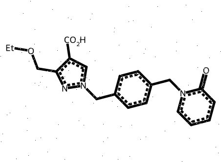 CCOCc1nn(Cc2ccc(Cn3ccccc3=O)cc2)cc1C(=O)O